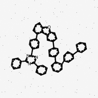 c1ccc(-c2ccc(-c3ccccc3-c3ccc(-c4ccc5oc6cccc(-c7ccc(-c8nc(-c9ccccc9)nc(-c9ccccc9)n8)cc7)c6c5c4)cc3)cc2)cc1